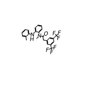 Cc1ccccc1Nc1ccccc1N(C)C(=O)Cc1cc(C(F)(F)F)cc(C(F)(F)F)c1